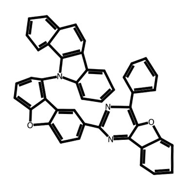 c1ccc(-c2nc(-c3ccc4oc5cccc(-n6c7ccccc7c7ccc8ccccc8c76)c5c4c3)nc3c2oc2ccccc23)cc1